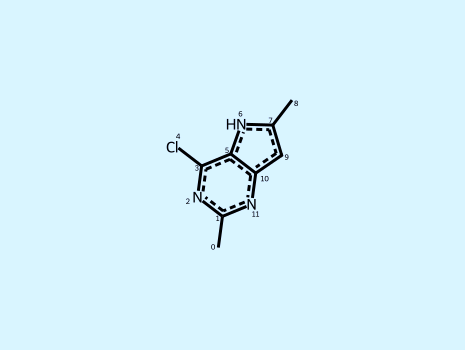 Cc1nc(Cl)c2[nH]c(C)cc2n1